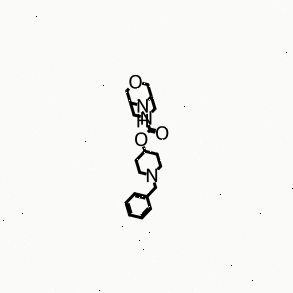 O=C(OC1CCN(Cc2ccccc2)CC1)N1CC2COCC(C1)N2